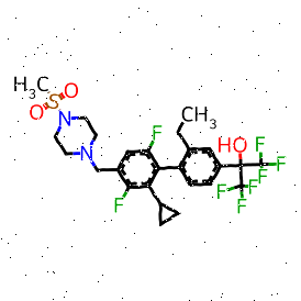 CCc1cc(C(O)(C(F)(F)F)C(F)(F)F)ccc1-c1c(F)cc(CN2CCN(S(C)(=O)=O)CC2)c(F)c1C1CC1